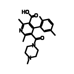 Cc1ccc(C)c(-c2c(C(=O)O)c(C)nc(C)c2C(=O)N2CCN(C)CC2)c1